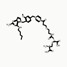 CCCCCNc1nc(N)nc2ccn(Cc3ccc(CN4C=CN(C(=O)CCOCCNC(=O)C[C@@H](SC[C@H](N)C(=O)O)C(=O)O)C=C4)cc3OC)c12